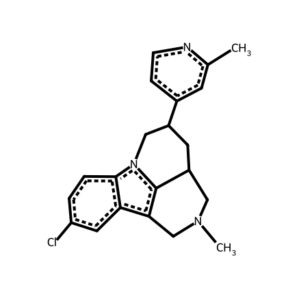 Cc1cc(C2CC3CN(C)Cc4c3n(c3ccc(Cl)cc43)C2)ccn1